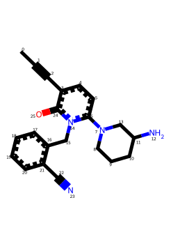 CC#Cc1ccc(N2CCCC(N)C2)n(Cc2ccccc2C#N)c1=O